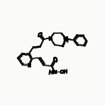 O=C(C=Cc1ncccc1C=CC(=O)N1CCN(c2ccccc2)CC1)NO